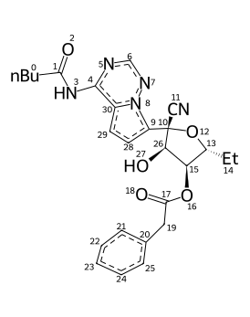 CCCCC(=O)Nc1ncnn2c([C@]3(C#N)O[C@H](CC)[C@@H](OC(=O)Cc4ccccc4)[C@H]3O)ccc12